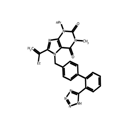 C=C(CC)c1nc2c(c(=O)n(C)c(=O)n2CCC)n1Cc1ccc(-c2ccccc2-c2nnn[nH]2)cc1